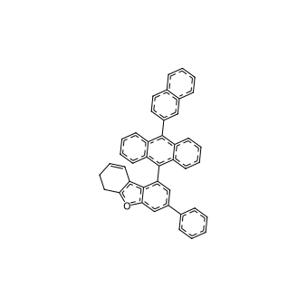 C1=Cc2c(oc3cc(-c4ccccc4)cc(-c4c5ccccc5c(-c5ccc6ccccc6c5)c5ccccc45)c23)CC1